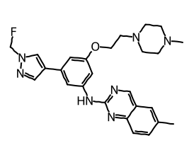 Cc1ccc2nc(Nc3cc(OCCN4CCN(C)CC4)cc(-c4cnn(CF)c4)c3)ncc2c1